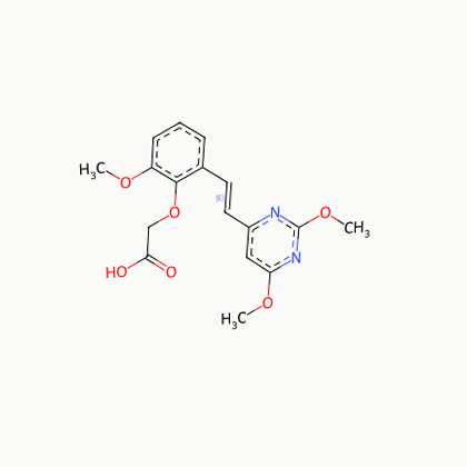 COc1cc(/C=C/c2cccc(OC)c2OCC(=O)O)nc(OC)n1